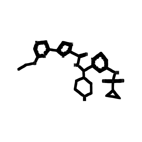 CCOc1cncc(-c2cnc(C(=O)NC(c3cc(NS(=O)(=O)C4CC4)ccn3)C3CCNCC3)s2)n1